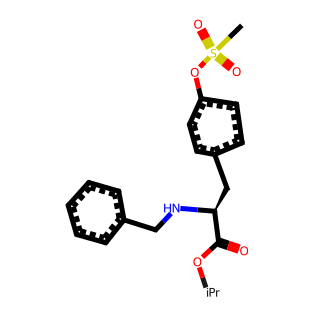 CC(C)OC(=O)[C@H](Cc1ccc(OS(C)(=O)=O)cc1)NCc1ccccc1